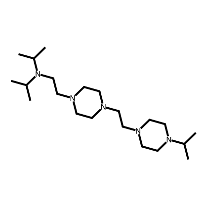 CC(C)N1CCN(CCN2CCN(CCN(C(C)C)C(C)C)CC2)CC1